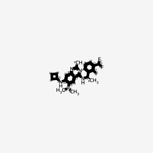 Cc1nc(N[C@H](C)c2cccc(C(F)F)c2F)c2cc(P(C)C)c(NC3CCC3)cc2n1